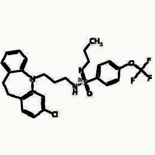 CCCN=[S@@](=O)(NCCCN1c2ccccc2CCc2ccc(Cl)cc21)c1ccc(OC(F)(F)F)cc1